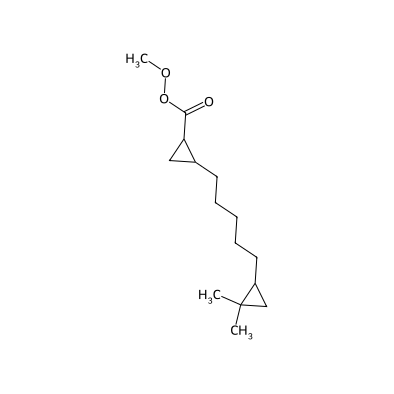 COOC(=O)C1CC1CCCCCC1CC1(C)C